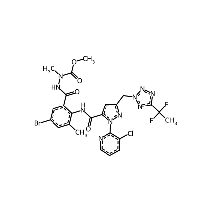 COC(=O)N(C)NC(=O)c1cc(Br)cc(C)c1NC(=O)c1cc(Cn2nnc(C(C)(F)F)n2)nn1-c1ncccc1Cl